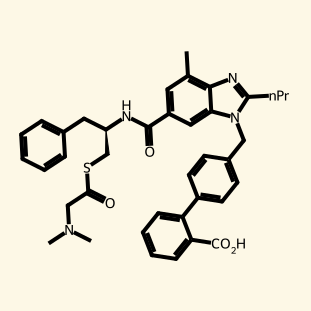 CCCc1nc2c(C)cc(C(=O)N[C@@H](CSC(=O)CN(C)C)Cc3ccccc3)cc2n1Cc1ccc(-c2ccccc2C(=O)O)cc1